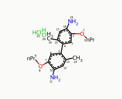 CCCOc1cc(-c2cc(OCCC)c(N)cc2C)c(C)cc1N.Cl.Cl